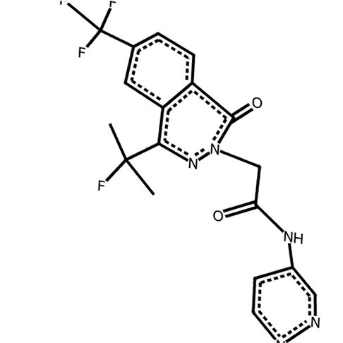 CC(C)(F)c1nn(CC(=O)Nc2ccnnc2)c(=O)c2ccc(C(F)(F)F)cc12